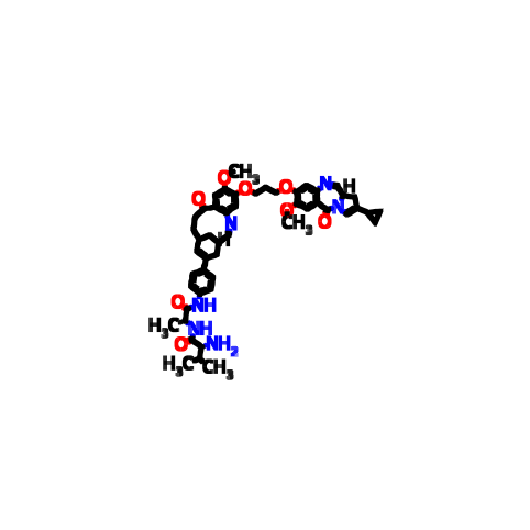 COc1cc2c(cc1OCCCOc1cc3c(cc1OC)C(=O)CCC1C=C(c4ccc(NC(=O)[C@H](C)NC(=O)[C@@H](N)C(C)C)cc4)C[C@@H](/C=N\3)C1)N=C[C@@H]1CC(C3CC3)=CN1C2=O